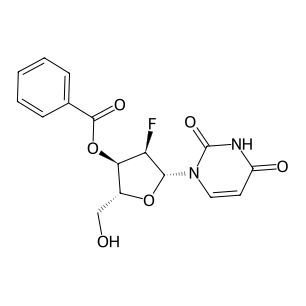 O=C(O[C@H]1[C@@H](F)[C@H](n2ccc(=O)[nH]c2=O)O[C@@H]1CO)c1ccccc1